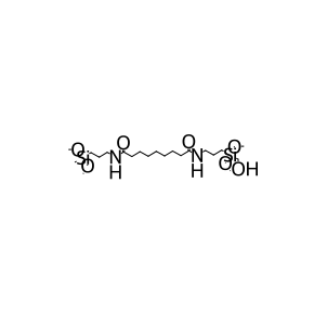 CO[Si](C)(CCCNC(=O)CCCCCCCC(=O)NCCC[Si](CO)(OC)OC)OC